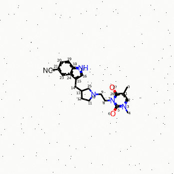 Cc1cn(C)c(=O)n(CCN2CCC(Cc3c[nH]c4ccc(C#N)cc34)C2)c1=O